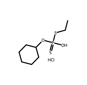 CCSP(O)(=S)OC1CCCCC1.Cl